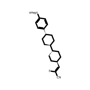 CCCCCCCc1ccc([C@H]2CC[C@H]([C@H]3CC[C@H](C=C(F)C#N)CC3)CC2)cc1